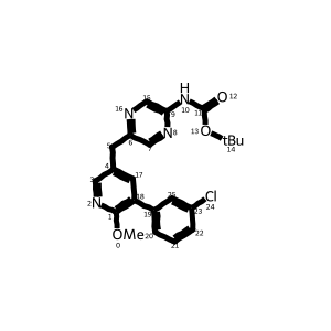 COc1ncc(Cc2cnc(NC(=O)OC(C)(C)C)cn2)cc1-c1cccc(Cl)c1